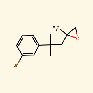 CC(C)(CC1(C(F)(F)F)CO1)c1cccc(Br)c1